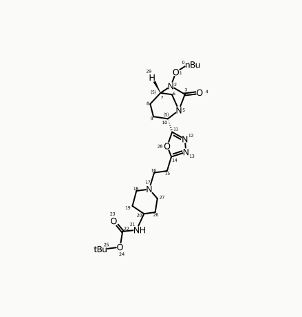 CCCCON1C(=O)N2C[C@@H]1CC[C@H]2c1nnc(CCN2CCC(NC(=O)OC(C)(C)C)CC2)o1